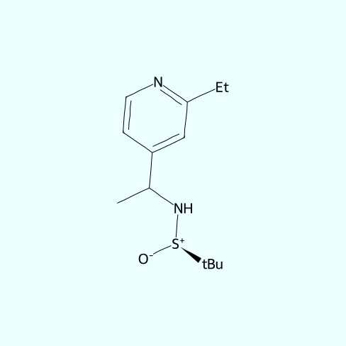 CCc1cc(C(C)N[S@+]([O-])C(C)(C)C)ccn1